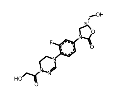 O=C(CO)N1CCN(c2ccc(N3C[C@H](CO)OC3=O)cc2F)C=N1